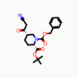 CC(C)(C)OC(=O)[C@@H]1CC[C@H](C(=O)CC#N)CN1C(=O)OCc1ccccc1